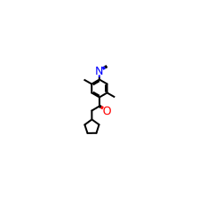 C=Nc1cc(C)c(C(=O)CC2CCCC2)cc1C